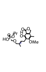 COc1c(C)c2c(c(O)c1C/C=C(\C)COCP(=O)(O)OC(C)C)C(=O)OC2